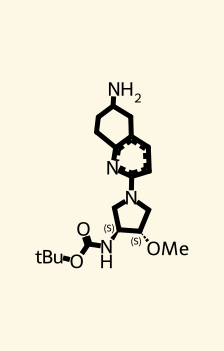 CO[C@H]1CN(c2ccc3c(n2)CCC(N)C3)C[C@@H]1NC(=O)OC(C)(C)C